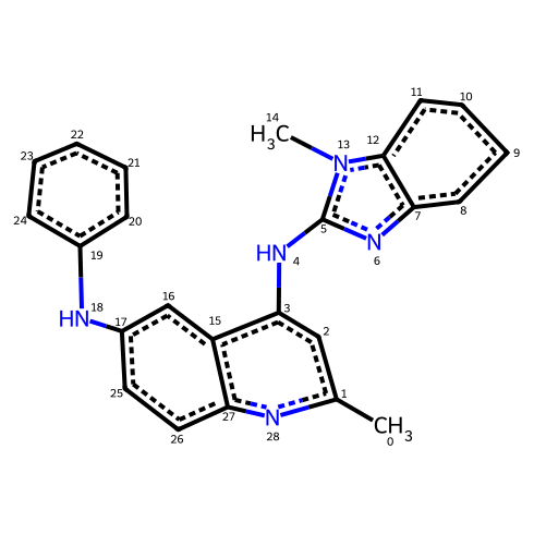 Cc1cc(Nc2nc3ccccc3n2C)c2cc(Nc3ccccc3)ccc2n1